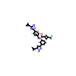 Cn1nc(-c2cccc(N(CC34CCC(c5nc(C6CC6)no5)(CC3)CC4)C(=O)C3CC(C(F)F)C3)c2)cc1C1CC1